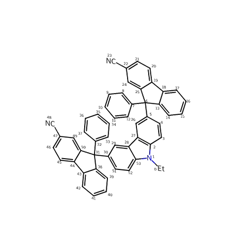 CCn1c2ccc(C3(c4ccccc4)c4ccccc4-c4ccc(C#N)cc43)cc2c2cc(C3(c4ccccc4)c4ccccc4-c4ccc(C#N)cc43)ccc21